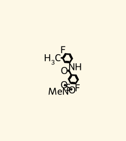 CNS(=O)(=O)c1cc(C(=O)Nc2ccc(F)c(C)c2)ccc1F